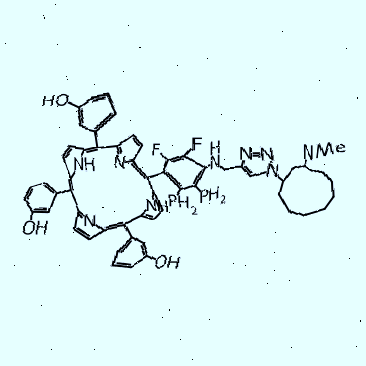 CNC1CCCCCCCC(n2cc(CNc3c(F)c(F)c(-c4c5nc(c(-c6cccc(O)c6)c6ccc([nH]6)c(-c6cccc(O)c6)c6nc(c(-c7cccc(O)c7)c7ccc4[nH]7)C=C6)C=C5)c(P)c3P)nn2)C1